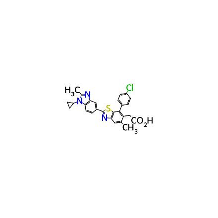 Cc1cc2nc(-c3ccc4c(c3)nc(C)n4C3CC3)sc2c(-c2ccc(Cl)cc2)c1CC(=O)O